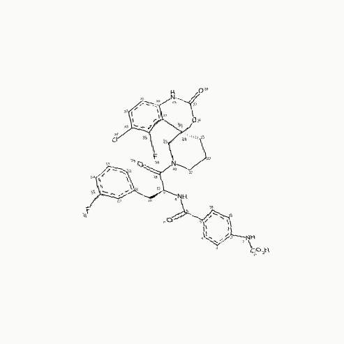 O=C(O)Nc1ccc(C(=O)N[C@@H](Cc2cccc(F)c2)C(=O)N2CCC[C@@]3(C2)OC(=O)Nc2ccc(Cl)c(F)c23)cc1